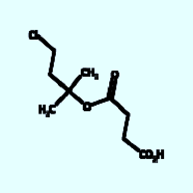 CC(C)(CCCl)OC(=O)CCC(=O)O